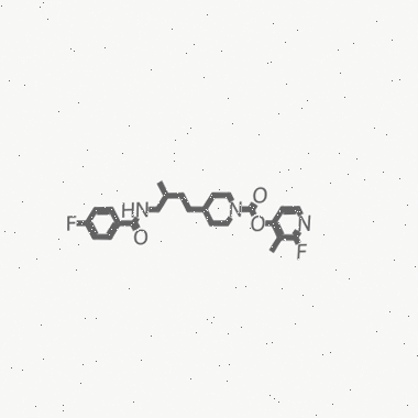 Cc1c(OC(=O)N2CCC(CCC(C)CNC(=O)c3ccc(F)cc3)CC2)ccnc1F